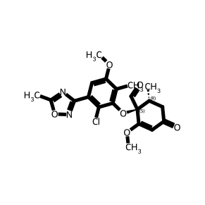 COC1=CC(=O)C[C@@H](C)[C@]1(C=O)Oc1c(C)c(OC)cc(-c2noc(C)n2)c1Cl